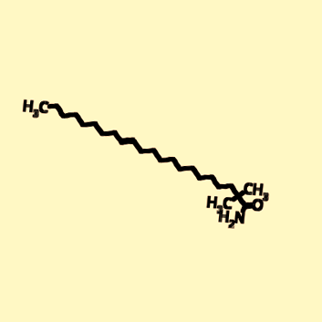 CCCCCCCCC=CCCCCCCCCCCC(C)(C)C(N)=O